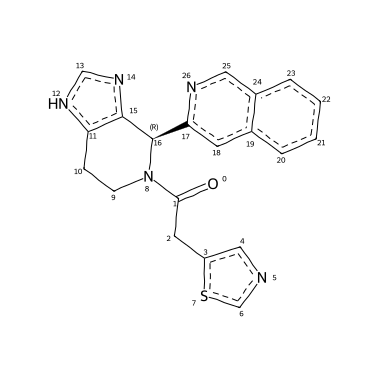 O=C(Cc1cncs1)N1CCc2[nH]cnc2[C@H]1c1cc2ccccc2cn1